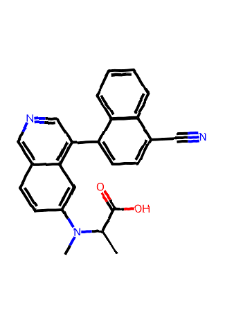 CC(C(=O)O)N(C)c1ccc2cncc(-c3ccc(C#N)c4ccccc34)c2c1